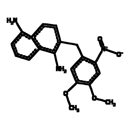 COc1cc(Cc2ccc3c(N)cccc3c2N)c([N+](=O)[O-])cc1OC